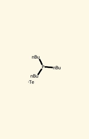 CCCCP(CCCC)CCCC.[Te]